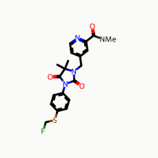 CNC(=O)c1cc(CN2C(=O)N(c3ccc(SCF)cc3)C(=O)C2(C)C)ccn1